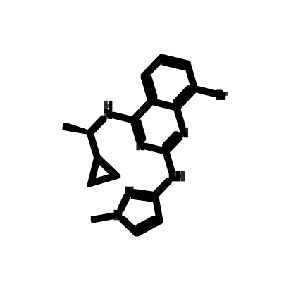 C[C@@H](Nc1nc(Nc2ccn(C)n2)nc2c(Br)cccc12)C1CC1